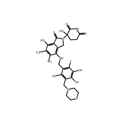 Bc1c(B)c(NCc2c(O)c(CN3CCOCC3)c(O)c(O)c2F)c2c(c1O)C(=O)N(C1(O)CCC(=O)NC1=O)C2